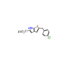 CCOC(=O)c1cc2cc(Cc3ccc(Cl)cc3)sc2[nH]1